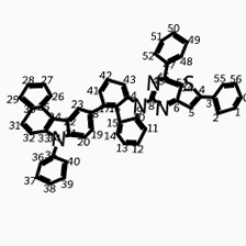 c1ccc(-c2cc3nc(-n4c5ccccc5c5c(-c6ccc7c(c6)c6c8ccccc8ccc6n7-c6ccccc6)cccc54)nc(-c4ccccc4)c3s2)cc1